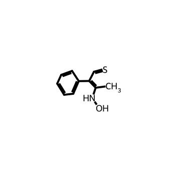 CC(NO)=C(C=S)c1ccccc1